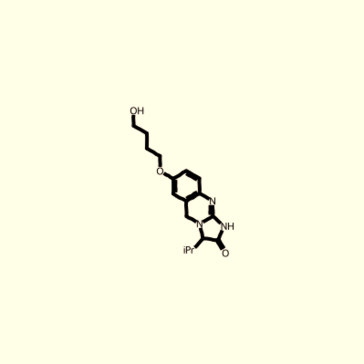 CC(C)C1C(=O)NC2=Nc3ccc(OCCCCO)cc3CN21